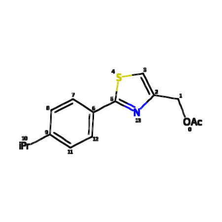 CC(=O)OCc1csc(-c2ccc(C(C)C)cc2)n1